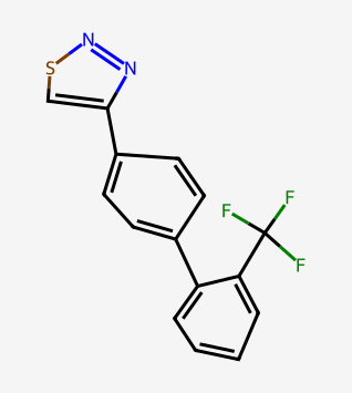 FC(F)(F)c1ccccc1-c1ccc(-c2csnn2)cc1